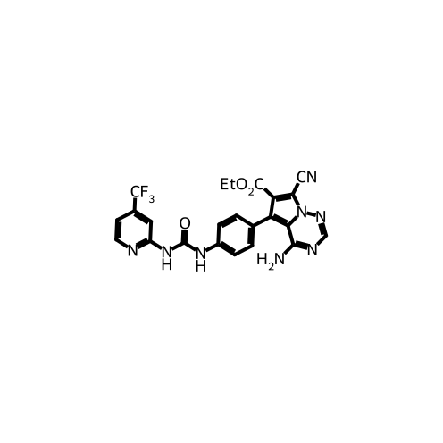 CCOC(=O)c1c(-c2ccc(NC(=O)Nc3cc(C(F)(F)F)ccn3)cc2)c2c(N)ncnn2c1C#N